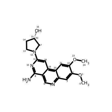 COc1cc2ncc3c(N)nc(N4CC[C@H](O)C4)cc3c2cc1OC